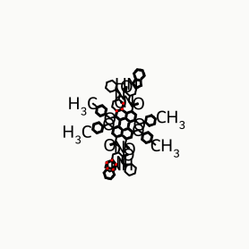 Cc1ccc(Oc2cc3c4c(cc(Oc5ccc(C)cc5)c5c6c(Oc7ccc(C)cc7)cc7c8c(cc(Oc9ccc(C)cc9)c(c2c45)c86)C(=O)N(C(Cc2cc4ccccc4[nH]2)C(=O)N(C2CCCCC2)C2CCCCC2)C7=O)C(=O)N(C(Cc2cc4ccccc4[nH]2)C(=O)N(C2CCCCC2)C2CCCCC2)C3=O)cc1